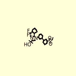 CCS(=O)(=O)c1cccc(-c2cccc(-n3cc(C(C)(C)O)nc3-c3ccccc3C(F)(F)F)c2)c1